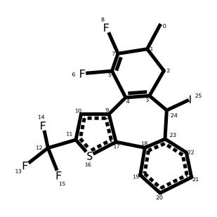 CC1CC2=C(C(F)=C1F)c1cc(C(F)(F)F)sc1-c1ccccc1C2I